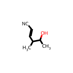 CC(O)C(C)/C=C/C#N